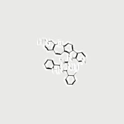 CC1C=CC=CC1C1NC(n2c3cnccc3c3ccc4c(c32)C=CC2=C(CNC=C2)O4)=NC(c2ccccc2)N1